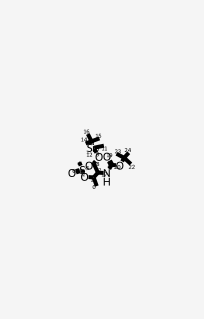 CC(OS(C)(=O)=O)C(CO[Si](C)(C)C(C)(C)C)NC(=O)OC(C)(C)C